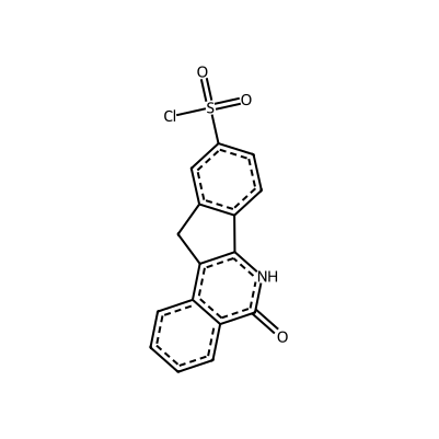 O=c1[nH]c2c(c3ccccc13)Cc1cc(S(=O)(=O)Cl)ccc1-2